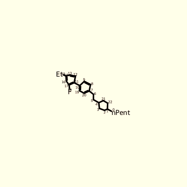 CCCCCC1CCC(CCc2ccc(-c3ccc(CC)cc3F)cc2)CC1